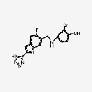 Oc1ccc(NCc2cc3oc(-c4nnn[nH]4)cc3cc2F)cc1Br